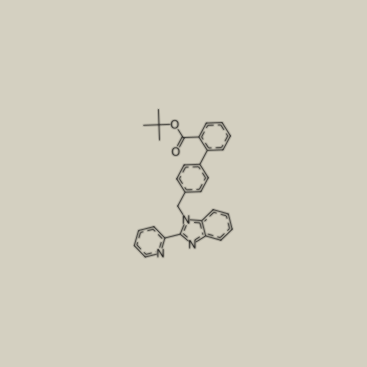 CC(C)(C)OC(=O)c1ccccc1-c1ccc(Cn2c(-c3ccccn3)nc3ccccc32)cc1